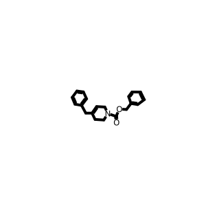 O=C(OCc1ccccc1)N1CC=C(Cc2ccccc2)CC1